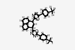 CC(C)(C)c1ccc(-c2nnc(C3=CC(c4nnc(-c5ccc(C(C)(C)C)cc5)o4)c4cccc5cccc3c45)o2)cc1